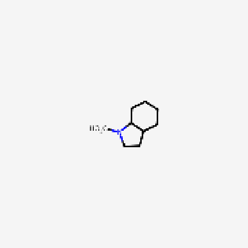 O=C(O)N1CCC2CCCCC21